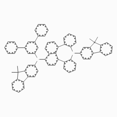 CC1(C)c2ccccc2-c2ccc(N3c4ccccc4-c4cccc5c(N(c6cc(-c7ccccc7)cc(-c7ccccc7)c6)c6ccc7c(c6)C(C)(C)c6ccccc6-7)ccc(c45)-c4ccccc43)cc21